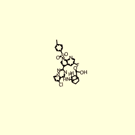 Cc1ccc(S(=O)(=O)n2cc(-c3nc(N[C@H]4C5CCC(CC5)[C@@H]4C(=O)O)c4c(Cl)ccn4n3)c3cc(F)cnc32)cc1